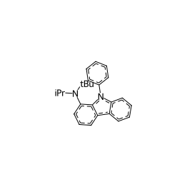 CC(C)N(c1cccc2c3ccccc3n(-c3ccccc3)c12)C(C)(C)C